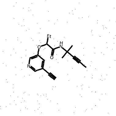 C#Cc1cncc(OC(CC)C(=O)NC(C)(C)C#CC)c1